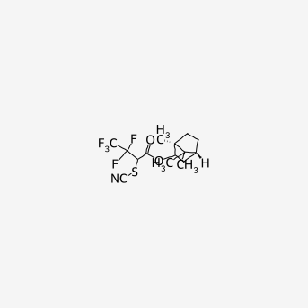 CC1(C)[C@@H]2CC[C@]1(C)C(OC(=O)C(SC#N)C(F)(F)C(F)(F)F)C2